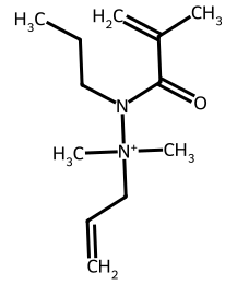 C=CC[N+](C)(C)N(CCC)C(=O)C(=C)C